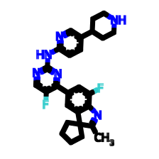 CC1=Nc2c(F)cc(-c3nc(Nc4ccc(C5CCNCC5)cn4)ncc3F)cc2C12CCCC2